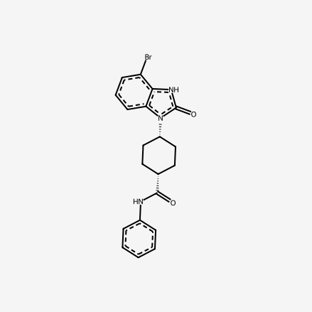 O=c1[nH]c2c(Br)cccc2n1[C@H]1CC[C@@H](C(=O)Nc2ccccc2)CC1